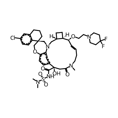 CN1CC/C=C/[C@H](OCCN2CCC(F)(F)CC2)[C@@H]2CC[C@H]2CN2C[C@@]3(CCCc4cc(Cl)ccc43)COc3ccc(cc32)[C@@](O)(C(=O)NS(=O)(=O)N(C)C)CC1=O